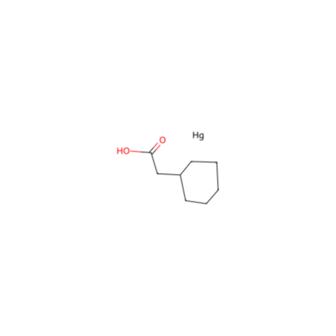 O=C(O)CC1CCCCC1.[Hg]